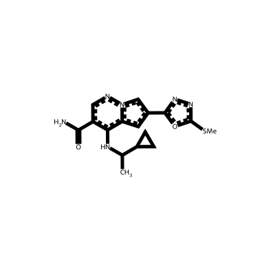 CSc1nnc(-c2cc3c(NC(C)C4CC4)c(C(N)=O)cnn3c2)o1